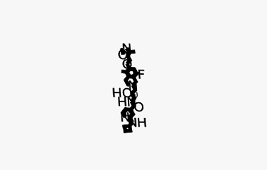 Cc1ncoc1COc1cc(F)c2c(c1C)CCN(C[C@@H](O)CNC(=O)c1ccnc(NC3CCC3)c1)C2